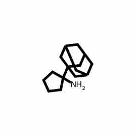 NC1(C23CC4CC(CC(C4)C2)C3)CCCC1